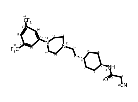 N#CCC(=O)N[C@H]1CC[C@H](CCN2CCN(c3cc(C(F)(F)F)cc(C(F)(F)F)c3)CC2)CC1